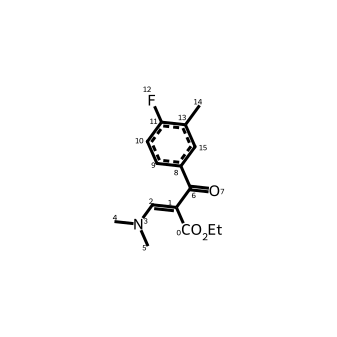 CCOC(=O)C(=CN(C)C)C(=O)c1ccc(F)c(C)c1